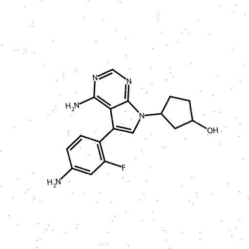 Nc1ccc(-c2cn(C3CCC(O)C3)c3ncnc(N)c23)c(F)c1